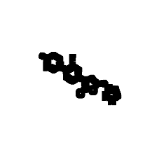 CN1CCN(c2ccc(N3CC(Cn4ccnn4)OC3=O)cc2F)C=N1